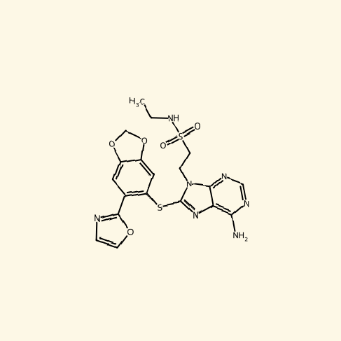 CCNS(=O)(=O)CCn1c(Sc2cc3c(cc2-c2ncco2)OCO3)nc2c(N)ncnc21